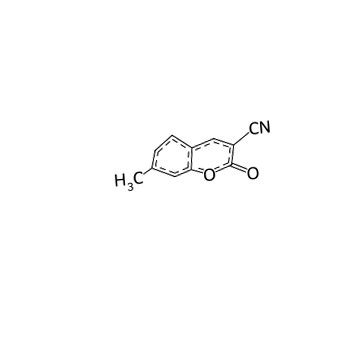 Cc1ccc2cc(C#N)c(=O)oc2c1